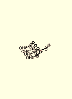 O=CCCCC(=O)OCc1ccccc1.O=CCCCC(=O)OCc1ccccc1.O=CCCCC(=O)OCc1ccccc1.O=CCCCC(=O)OCc1ccccc1.O=CCCCC(=O)OCc1ccccc1